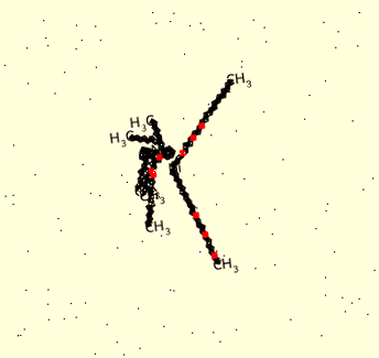 CCCCCC=CCC(CCCCCC)CCc1ccccc1C1=CC(C=CCCCCCCCCCCCCCCCC)=C(c2ccccc2CCC(CC=CCCCCC)CCCCCC)[N+]1=[N-].CCCCCCCCCCCCCCCCCCCCCCCCCCCC[CH2][Ni][CH2]CCCCCCCCCCCCCCCCCCCCCCCCCCCC